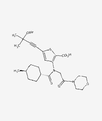 COC(C)(C)C#Cc1cc(N(CC(=O)N2CCOCC2)C(=O)[C@H]2CC[C@H](C)CC2)c(C(=O)O)s1